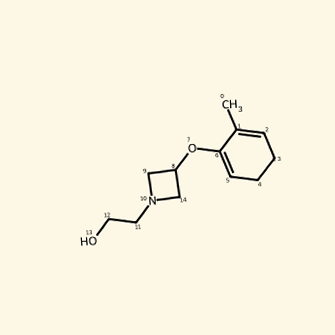 CC1=C[CH]CC=C1OC1CN(CCO)C1